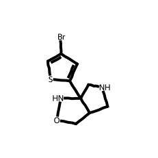 Brc1csc(C23CNCC2CON3)c1